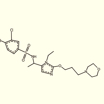 CCn1c(C(C)NS(=O)(=O)c2ccc(Cl)c(Cl)c2)cnc1OCCCN1CCOCC1